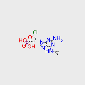 Nc1nc(NC2CC2)c2ncn(C[C@@H]3C[C@@H](P(=O)(O)O)O[C@@H]3Cl)c2n1